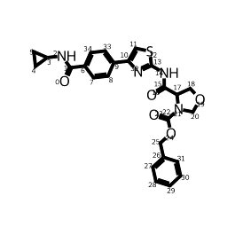 O=C(NC1CC1)c1ccc(-c2csc(NC(=O)C3COCN3C(=O)OCc3ccccc3)n2)cc1